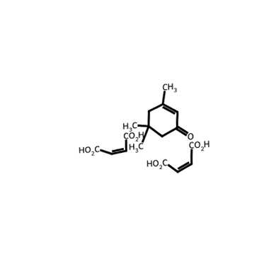 CC1=CC(=O)CC(C)(C)C1.O=C(O)/C=C\C(=O)O.O=C(O)/C=C\C(=O)O